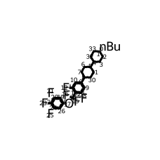 CCCCC1CCC(C2CCC(c3cc(F)c(C(F)(F)Oc4cc(F)c(F)c(F)c4)c(F)c3)CC2)CC1